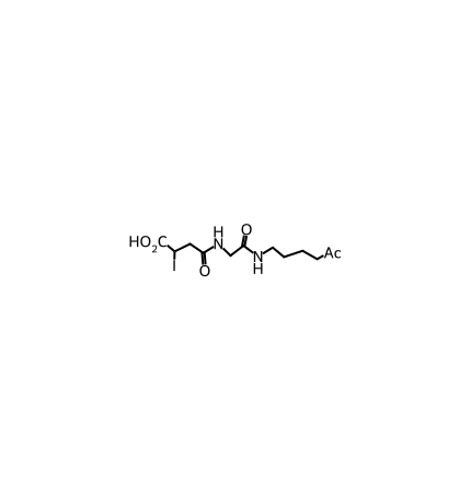 CC(=O)CCCCNC(=O)CNC(=O)CC(I)C(=O)O